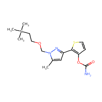 Cc1cc(-c2sccc2OC(N)=O)nn1COCC[Si](C)(C)C